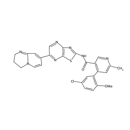 COc1ccc(Cl)cc1-c1cc(C)ncc1C(=O)Nc1nc2ncc(C3=CC4=NCCCN4C=C3)nc2s1